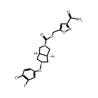 NC(=O)c1cc(COC(=O)N2C[C@H]3C[C@@H](Oc4ccc(Cl)c(F)c4)C[C@H]3C2)on1